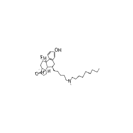 CCCCCCCCCN(C)CCCCC[C@@H]1Cc2cc(O)ccc2[C@@H]2[C@@H]1[C@@H]1CCC(=O)[C@@]1(C)C[C@@H]2F